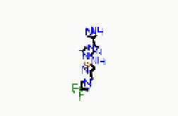 Cc1cn2c(-c3cn[nH]c3)cnc2c(Nc2cc(CN3CC(F)(F)C3)ns2)n1